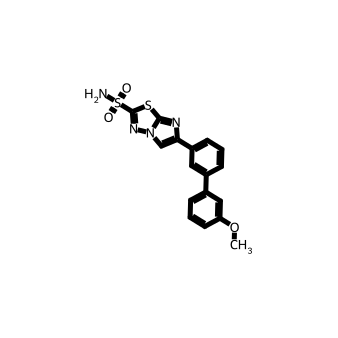 COc1cccc(-c2cccc(-c3cn4nc(S(N)(=O)=O)sc4n3)c2)c1